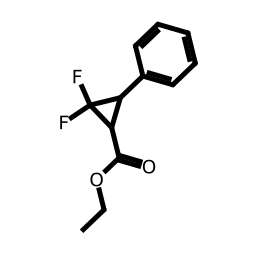 CCOC(=O)C1C(c2ccccc2)C1(F)F